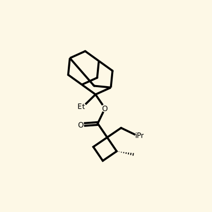 CCC1(OC(=O)C2(CC(C)C)CC[C@H]2C)C2CC3CC(C2)CC1C3